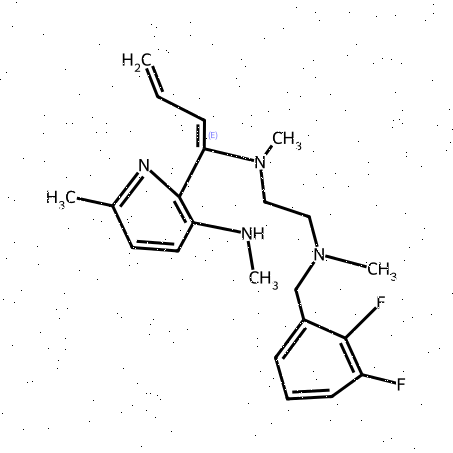 C=C/C=C(\c1nc(C)ccc1NC)N(C)CCN(C)Cc1cccc(F)c1F